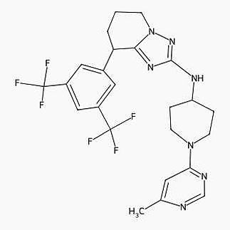 Cc1cc(N2CCC(Nc3nc4n(n3)CCCC4c3cc(C(F)(F)F)cc(C(F)(F)F)c3)CC2)ncn1